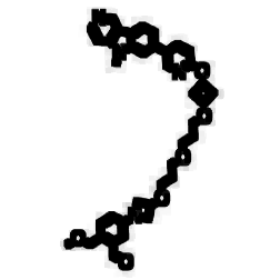 COCc1ccc(N2CC(OCCCOCCCO[C@H]3C[C@H](Oc4ccc(-c5ccc6c7cnccc7n(C)c6c5)cn4)C3)C2)cc1C=O